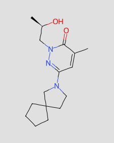 Cc1cc(N2CCC3(CCCC3)C2)nn(C[C@@H](C)O)c1=O